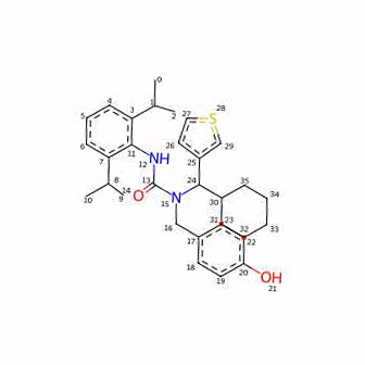 CC(C)c1cccc(C(C)C)c1NC(=O)N(Cc1ccc(O)cc1)C(c1ccsc1)C1CCCCC1